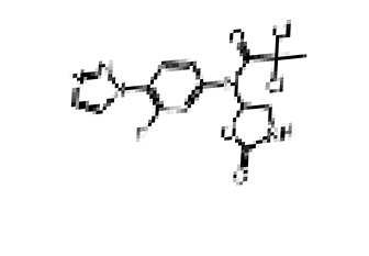 CC(Cl)(Cl)C(=O)N(c1ccc(-n2ccnn2)c(F)c1)C1CNC(=O)O1